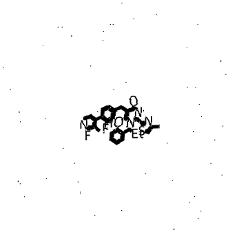 CCC(c1ccccc1)n1c(-c2nc(C)cs2)nc(=O)c(Cc2ccc(-c3ccnc(F)c3C)c(F)c2)c1O